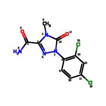 Cn1c(C(N)=O)nn(-c2ccc(Cl)cc2Cl)c1=O